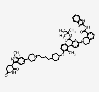 Cc1c(OC2CCC(CCCCN3CCC(c4ccc5c(C6CCC(=O)NC6=O)nn(C)c5c4)CC3)CC2)cccc1-c1ccc(N2CCc3cccc(C(=O)Nc4nc5ccccc5s4)c3C2)nc1C(=O)OC(C)(C)C